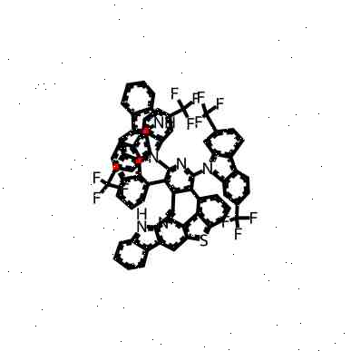 N#Cc1c(-c2cccc3sc4cc5c(cc4c23)[nH]c2ccccc25)c(-n2c3cc(C(F)(F)F)ccc3c3ccc(C(F)(F)F)cc32)nc(-n2c3cc(C(F)(F)F)ccc3c3ccc(C(F)(F)F)cc32)c1-c1cccc2sc3cc4c(cc3c12)[nH]c1ccccc14